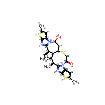 C=C1C(=C)C2/C(=C\C)c3nc4sc(C)cc4n3C(O)CC2SCC(=O)n2c1nc1sc(C)cc12